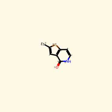 CCc1cc2c(=O)[nH]ccc2s1